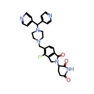 O=C1CCC(N2Cc3c(ccc(CN4CCN(C(c5ccncc5)c5ccncc5)CC4)c3F)C2=O)C(=O)N1